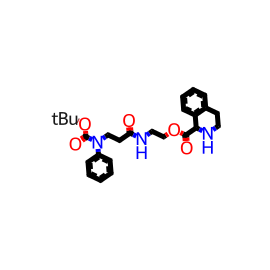 CC(C)(C)OC(=O)N(CCC(=O)NCCOC(=O)C1NCCc2ccccc21)c1ccccc1